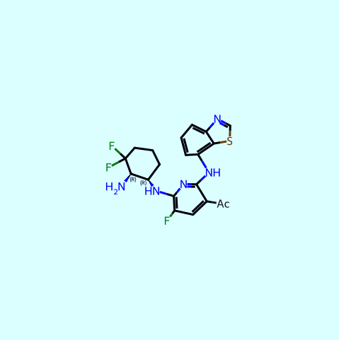 CC(=O)c1cc(F)c(N[C@@H]2CCCC(F)(F)[C@@H]2N)nc1Nc1cccc2ncsc12